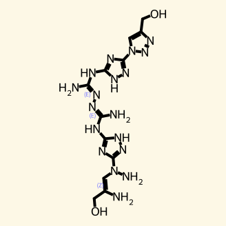 N/C(=C\N(N)c1n[nH]c(N/C(N)=N/N=C(\N)Nc2nc(-n3cc(CO)nn3)n[nH]2)n1)CO